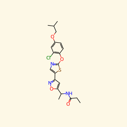 CCC(=O)NC(C)c1cc(-c2cnc(Oc3ccc(OCC(C)C)cc3Cl)s2)no1